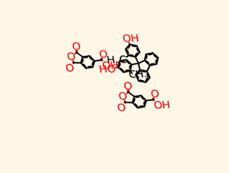 Cc1cc(O)ccc1C1(c2ccc(O)cc2C)c2ccccc2-c2ccccc21.O=C(O)c1ccc2c(c1)C(=O)OC2=O.O=C(O)c1ccc2c(c1)C(=O)OC2=O